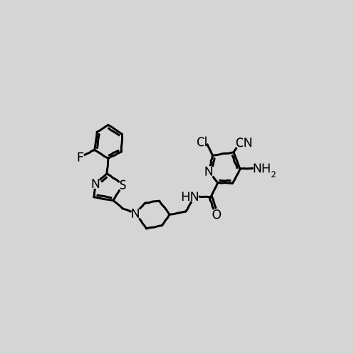 N#Cc1c(N)cc(C(=O)NCC2CCN(Cc3cnc(-c4ccccc4F)s3)CC2)nc1Cl